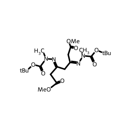 COC(=O)C/C(C/C(CC(=O)OC)=N/N(C)C(=O)OC(C)(C)C)=N\N(C)C(=O)OC(C)(C)C